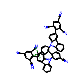 N#Cc1cc(C#N)c(-c2ccc3c(c2)c2ccccc2n3-c2ccc(C(F)(F)F)cc2-c2ccc(C#N)cc2-n2c3ccccc3c3cc(-c4c(C#N)cc(C#N)cc4C#N)ccc32)c(C#N)c1